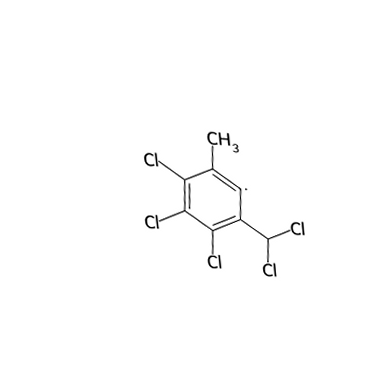 Cc1[c]c(C(Cl)Cl)c(Cl)c(Cl)c1Cl